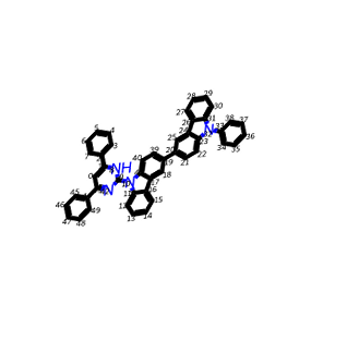 C1=C(c2ccccc2)NC(n2c3ccccc3c3cc(-c4ccc5c(c4)c4ccccc4n5-c4ccccc4)ccc32)N=C1c1ccccc1